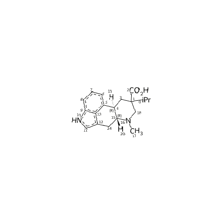 CC(C)C1(C(=O)O)C[C@@H]2c3cccc4[nH]cc(c34)C[C@H]2N(C)C1